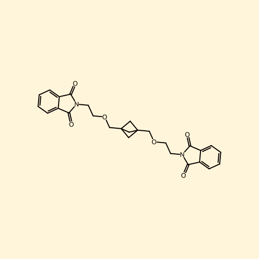 O=C1c2ccccc2C(=O)N1CCOCC12CC(COCCN3C(=O)c4ccccc4C3=O)(C1)C2